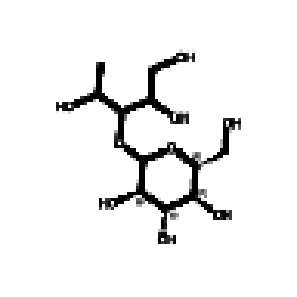 CC(O)C(OC1O[C@H](CO)[C@@H](O)[C@H](O)[C@H]1O)C(O)CO